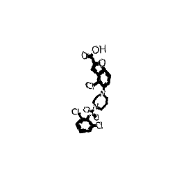 O=C(O)c1cc2c(Cl)c(N3CCCN(S(=O)(=O)c4c(Cl)cccc4Cl)CC3)ccc2o1